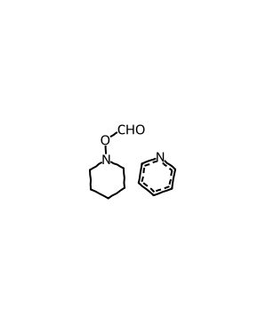 O=CON1CCCCC1.c1ccncc1